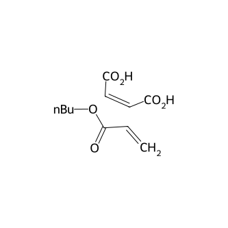 C=CC(=O)OCCCC.O=C(O)/C=C\C(=O)O